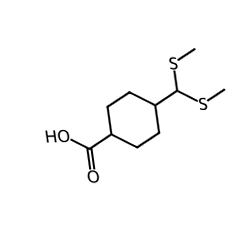 CSC(SC)C1CCC(C(=O)O)CC1